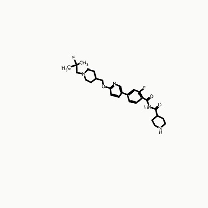 CC(C)(F)CN1CCC(COc2ccc(-c3ccc(C(=O)NC(=O)C4CCNCC4)c(F)c3)cn2)CC1